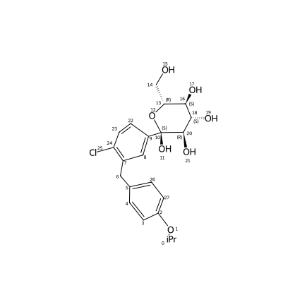 CC(C)Oc1ccc(Cc2cc([C@]3(O)O[C@H](CO)[C@@H](O)[C@H](O)[C@H]3O)ccc2Cl)cc1